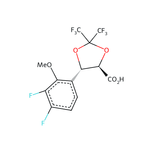 COc1c([C@@H]2OC(C(F)(F)F)(C(F)(F)F)O[C@H]2C(=O)O)ccc(F)c1F